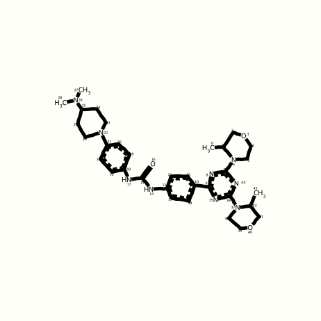 CC1COCCN1c1nc(-c2ccc(NC(=O)Nc3ccc(N4CCC(N(C)C)CC4)cc3)cc2)nc(N2CCOCC2C)n1